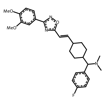 COc1ccc(-c2noc(/C=C/C3CCC(C(c4ccc(F)cc4)N(C)C)CC3)n2)cc1OC